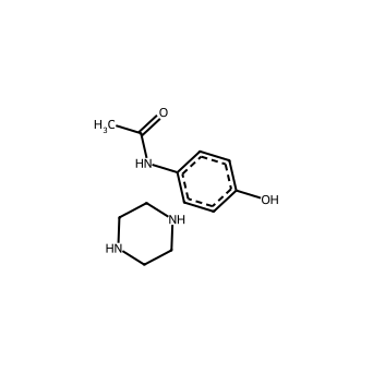 C1CNCCN1.CC(=O)Nc1ccc(O)cc1